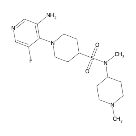 CN1CCC(N(C)S(=O)(=O)C2CCN(c3c(N)cncc3F)CC2)CC1